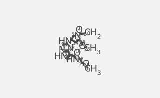 C=CC(=O)N1CC(Nc2cnc3[nH]cc(C(=O)NCCOC)c3n2)C[C@@H]1COC